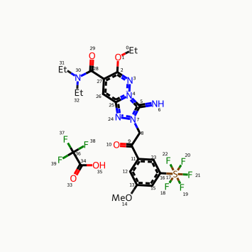 CCOc1nn2c(=N)n(CC(=O)c3cc(OC)cc(S(F)(F)(F)(F)F)c3)nc2cc1C(=O)N(CC)CC.O=C(O)C(F)(F)F